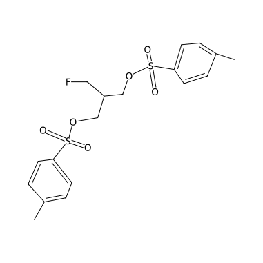 Cc1ccc(S(=O)(=O)OCC(CF)COS(=O)(=O)c2ccc(C)cc2)cc1